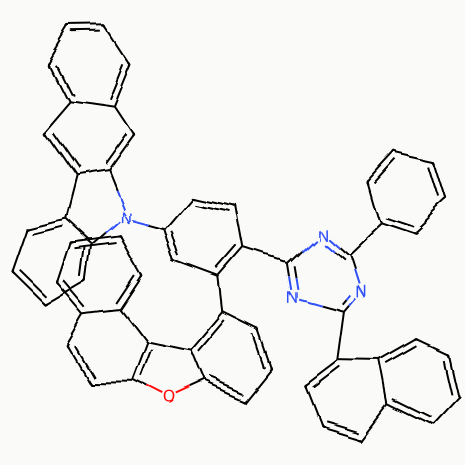 c1ccc(-c2nc(-c3ccc(-n4c5ccccc5c5cc6ccccc6cc54)cc3-c3cccc4oc5ccc6ccccc6c5c34)nc(-c3cccc4ccccc34)n2)cc1